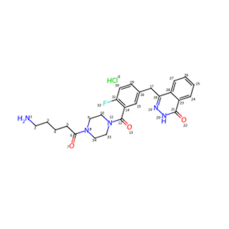 Cl.NCCCCC(=O)N1CCN(C(=O)c2cc(Cc3n[nH]c(=O)c4ccccc34)ccc2F)CC1